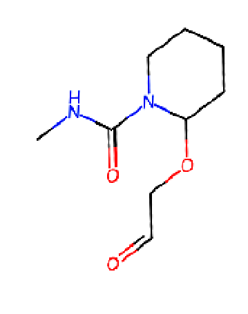 CNC(=O)N1CCCCC1OCC=O